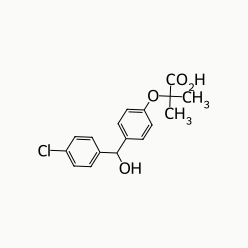 CC(C)(Oc1ccc(C(O)c2ccc(Cl)cc2)cc1)C(=O)O